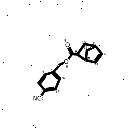 N#Cc1ccc(COC(=O)C2CC3C=CC2C3)cc1